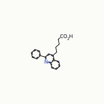 O=C(O)CCCCc1cc(-c2ccccc2)nc2ccccc12